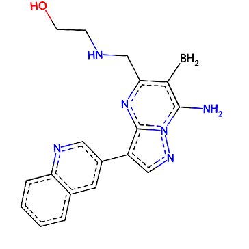 Bc1c(CNCCO)nc2c(-c3cnc4ccccc4c3)cnn2c1N